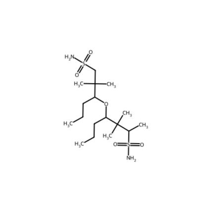 CCCC(OC(CCC)C(C)(C)C(C)S(N)(=O)=O)C(C)(C)CS(N)(=O)=O